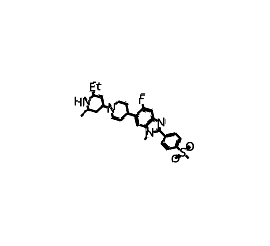 CCC1CC(N2CCC(c3cc4c(cc3F)nc(-c3ccc(S(C)(=O)=O)cc3)n4C)CC2)CC(C)N1